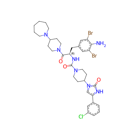 Nc1c(Br)cc(C[C@@H](NC(=O)N2CCC(n3cc(-c4cccc(Cl)c4)[nH]c3=O)CC2)C(=O)N2CCC(N3CCCCCC3)CC2)cc1Br